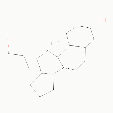 C[C@]12CC[C@H](O)CC1CCC1C3CCC[C@@]3(CCCO)CCC12